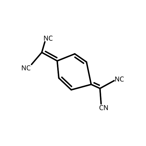 [C-]#[N+]C(C#N)=c1ccc(=C(C#N)[N+]#[C-])cc1